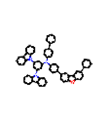 c1ccc(-c2ccc(N(c3ccc(-c4ccc5oc6ccc(-c7ccccc7)cc6c5c4)cc3)c3cc(-n4c5ccccc5c5ccccc54)cc(-n4c5ccccc5c5ccccc54)c3)cc2)cc1